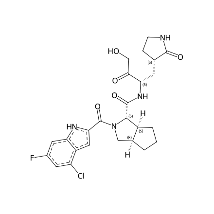 O=C1NCC[C@H]1C[C@H](NC(=O)[C@@H]1[C@H]2CCC[C@H]2CN1C(=O)c1cc2c(Cl)cc(F)cc2[nH]1)C(=O)CO